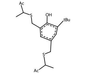 CC(=O)C(C)SCc1cc(CSC(C)C(C)=O)c(O)c(C(C)(C)C)c1